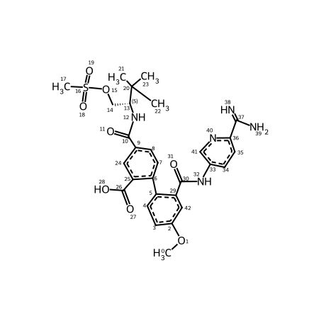 COc1ccc(-c2ccc(C(=O)N[C@H](COS(C)(=O)=O)C(C)(C)C)cc2C(=O)O)c(C(=O)Nc2ccc(C(=N)N)nc2)c1